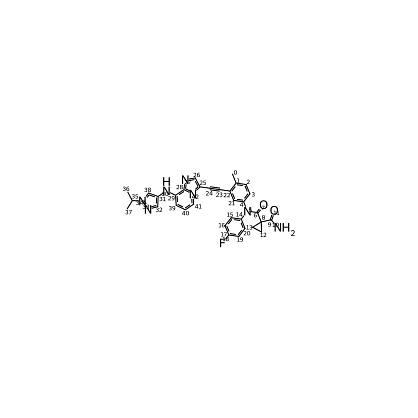 Cc1ccc(N(C(=O)C2(C(N)=O)CC2)c2ccc(F)cc2)cc1C#Cc1cnc2c(Nc3cnn(C(C)C)c3)cccn12